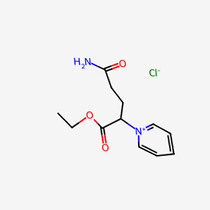 CCOC(=O)C(CCC(N)=O)[n+]1ccccc1.[Cl-]